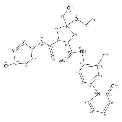 CCOC1(CO)CC(C(=O)Nc2ccc(Cl)cc2)C(C(=O)Nc2ccc(-n3ccccc3=O)cc2F)C1